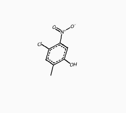 Cc1cc(Cl)c([N+](=O)[O-])cc1O